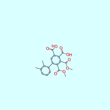 COC(=O)c1c(-c2cccc(C)c2C)cc(C(=O)O)c(C(=O)O)c1C(=O)OC